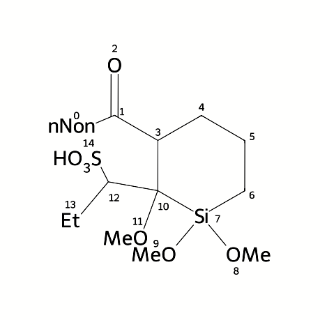 CCCCCCCCCC(=O)C1CCC[Si](OC)(OC)C1(OC)C(CC)S(=O)(=O)O